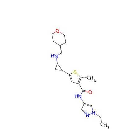 CCn1cc(NC(=O)c2cc(C3CC3NCC3CCOCC3)sc2C)cn1